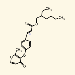 CCCCC(CC)COC(=O)/C=C/c1ccc(Oc2c(C)occc2=O)cc1